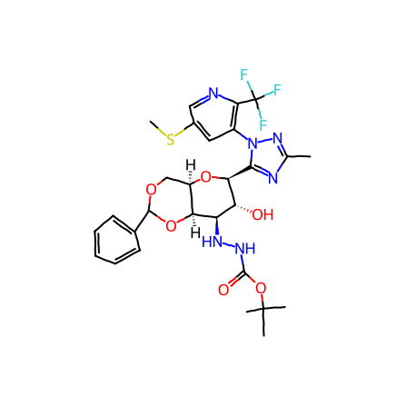 CSc1cnc(C(F)(F)F)c(-n2nc(C)nc2[C@@H]2O[C@@H]3COC(c4ccccc4)O[C@@H]3[C@H](NNC(=O)OC(C)(C)C)[C@H]2O)c1